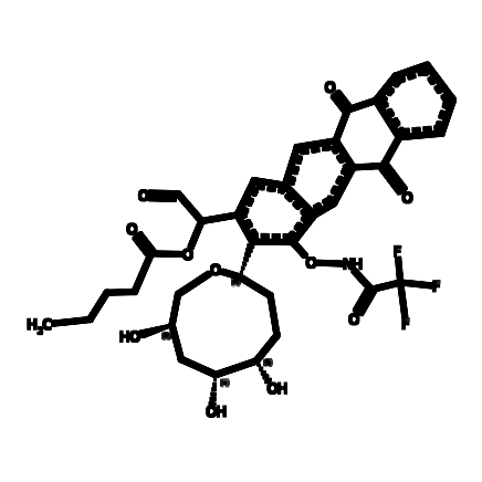 CCCCC(=O)OC(C=O)c1cc2cc3c(cc2c(ONC(=O)C(F)(F)F)c1[C@@H]1CC[C@H](O)[C@H](O)C[C@@H](O)CO1)C(=O)c1ccccc1C3=O